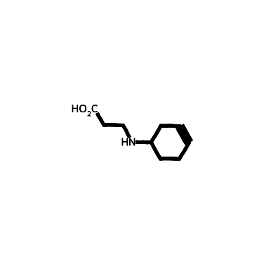 O=C(O)CCNC1CC#CCC1